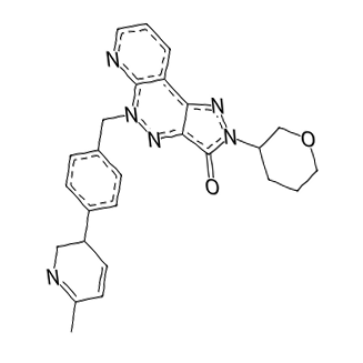 CC1=NCC(c2ccc(Cn3nc4c(=O)n(C5CCCOC5)nc-4c4cccnc43)cc2)C=C1